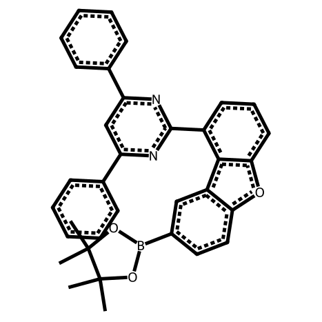 CC1(C)OB(c2ccc3oc4cccc(-c5nc(-c6ccccc6)cc(-c6ccccc6)n5)c4c3c2)OC1(C)C